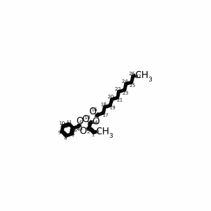 CC=C(OC(=O)c1ccccc1)C(=O)OC(=O)CCCCCCCCCCC